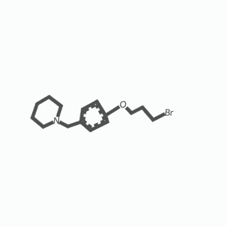 BrCCCOc1ccc(CN2CCCCC2)cc1